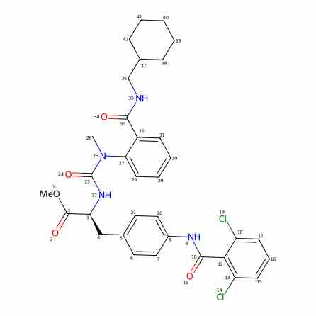 COC(=O)[C@H](Cc1ccc(NC(=O)c2c(Cl)cccc2Cl)cc1)NC(=O)N(C)c1ccccc1C(=O)NCC1CCCCC1